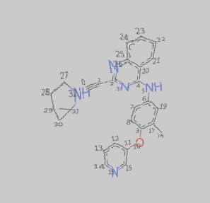 C#Cc1nc(Nc2ccc(Oc3cccnc3)c(C)c2)c2ccccc2n1.C1CC2CC2N1